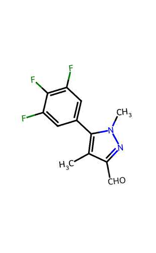 Cc1c(C=O)nn(C)c1-c1cc(F)c(F)c(F)c1